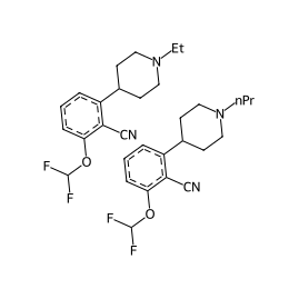 CCCN1CCC(c2cccc(OC(F)F)c2C#N)CC1.CCN1CCC(c2cccc(OC(F)F)c2C#N)CC1